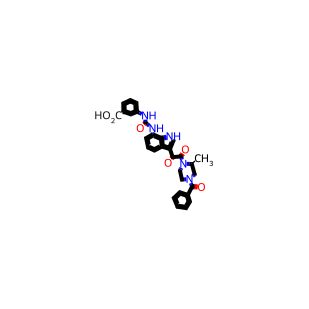 C[C@@H]1CN(C(=O)c2ccccc2)CCN1C(=O)C(=O)c1c[nH]c2c(NC(=O)Nc3cccc(C(=O)O)c3)cccc12